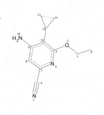 CCOc1nc(C#N)cc(N)c1C1CC1